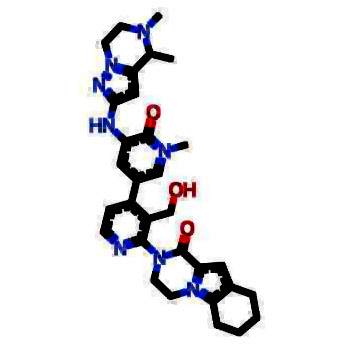 CC1c2cc(Nc3cc(-c4ccnc(N5CCn6c(cc7c6CCCC7)C5=O)c4CO)cn(C)c3=O)nn2CCN1C